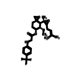 CO[C@@H]1[C@H](OC(=O)CNc2ccc(C(F)(F)F)cc2)CC[C@]2(CO2)[C@H]1[C@@]1(C)OC1CC=C(C)C